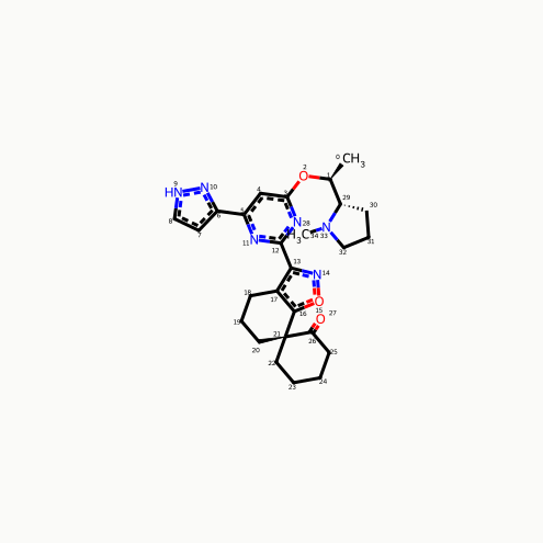 C[C@H](Oc1cc(-c2cc[nH]n2)nc(-c2noc3c2CCC[C@@]32CCCCC2=O)n1)[C@@H]1CCCN1C